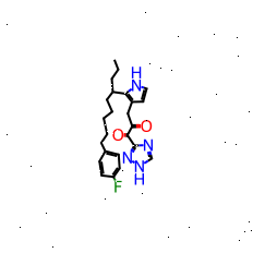 CCCC(CCCCCc1ccc(F)cc1)c1[nH]ccc1CC(=O)C(=O)c1nc[nH]n1